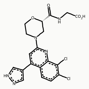 O=C(O)CNC(=O)[C@@H]1CN(c2cc(-c3cn[nH]c3)c3ccc(Cl)c(Cl)c3n2)CCO1